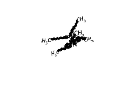 CCCCCCCCCC[CH2][Pd][CH2]CCCCCCCCCC.CCCCCc1ccc(C2=CC(CCCC)=C(c3ccc(CCCC)cc3)[N+]2=[N-])cc1